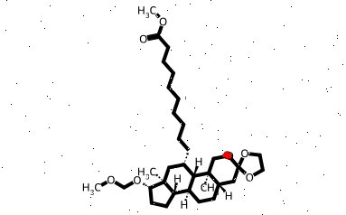 COCO[C@H]1CC[C@H]2[C@@H]3CC[C@H]4CC5(OCCO5)C5(C[C@]4(C)[C@H]3[C@@H](CCCCCCCCCC(=O)OC)C[C@]12C)OCCO5